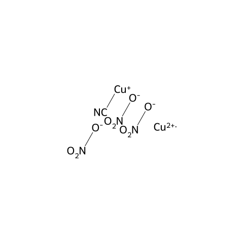 N#[C][Cu+].O=[N+]([O-])[O-].O=[N+]([O-])[O-].O=[N+]([O-])[O-].[Cu+2]